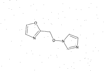 [c]1nccn1OCc1ncco1